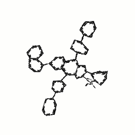 C[Si]1(C)c2ccccc2-c2cc3c(-c4ccc(-c5ccccc5)cc4)c4ccc(-c5cccc6ccccc56)cc4c(-c4ccc(-c5ccccc5)cc4)c3cc21